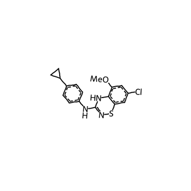 COc1cc(Cl)cc2c1NC(Nc1ccc(C3CC3)cc1)=NS2